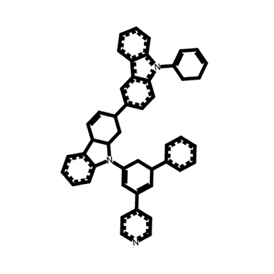 C1=CCCC(n2c3ccccc3c3cc(C4C=CC5c6ccccc6N(C6=CC(c7ccncc7)=CC(c7ccccc7)C6)C5C4)ccc32)=C1